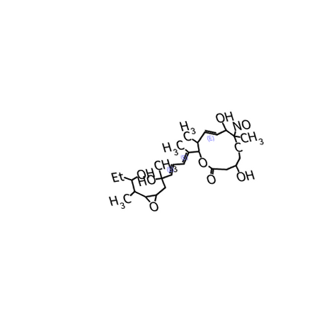 CCC(O)C(C)C1OC1CC(C)(O)/C=C/C=C(\C)C1OC(=O)CC(O)CCC(C)(N=O)C(O)/C=C/C1C